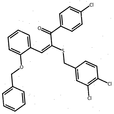 O=C(C(=Cc1ccccc1OCc1ccccc1)SCc1ccc(Cl)c(Cl)c1)c1ccc(Cl)cc1